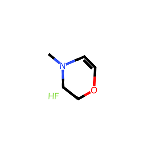 CN1C=COCC1.F